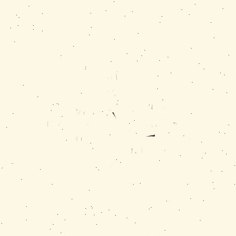 CCCC(CCC)(Oc1ccc(Cl)cc1[C@@H]1CC(=O)N[C@H](c2cc(F)ccc2C)[C@@]12C(=O)N(C(C)=O)c1cc(Cl)ccc12)C(=O)O